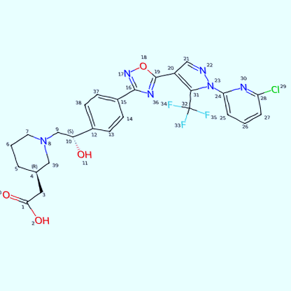 O=C(O)C[C@H]1CCCN(C[C@@H](O)c2ccc(-c3noc(-c4cnn(-c5cccc(Cl)n5)c4C(F)(F)F)n3)cc2)C1